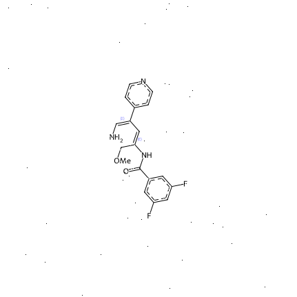 COC/C(=C\C(=C/N)c1ccncc1)NC(=O)c1cc(F)cc(F)c1